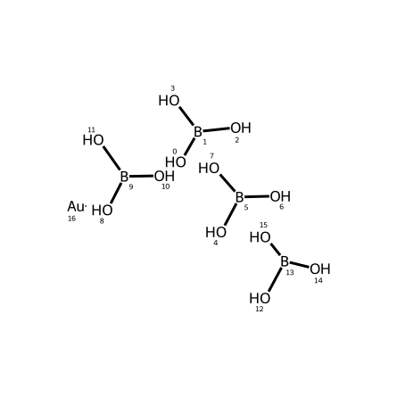 OB(O)O.OB(O)O.OB(O)O.OB(O)O.[Au]